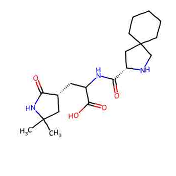 CC1(C)C[C@@H](CC(NC(=O)[C@@H]2CC3(CCCCC3)CN2)C(=O)O)C(=O)N1